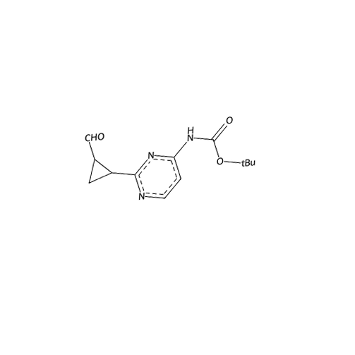 CC(C)(C)OC(=O)Nc1ccnc(C2CC2C=O)n1